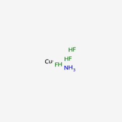 F.F.F.N.[Cu]